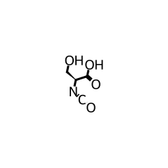 O=C=N[C@@H](CO)C(=O)O